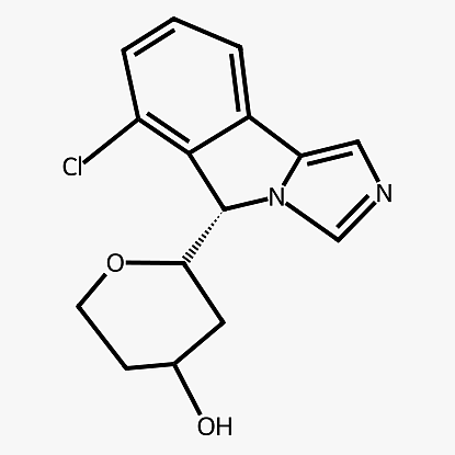 OC1CCOC([C@@H]2c3c(Cl)cccc3-c3cncn32)C1